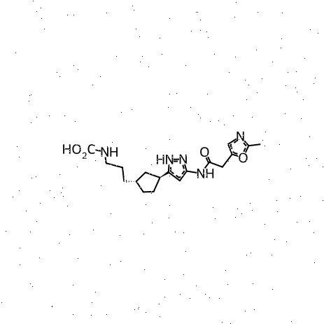 Cc1ncc(CC(=O)Nc2cc([C@H]3CC[C@H](CCCNC(=O)O)C3)[nH]n2)o1